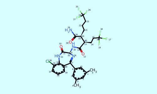 Cc1cc(C)cc(C2=N[C@H](NC(=O)[C@H](CCC(F)(F)F)[C@H](CCCC(F)(F)F)C(N)=O)C(=O)Nc3c(Cl)cccc32)c1